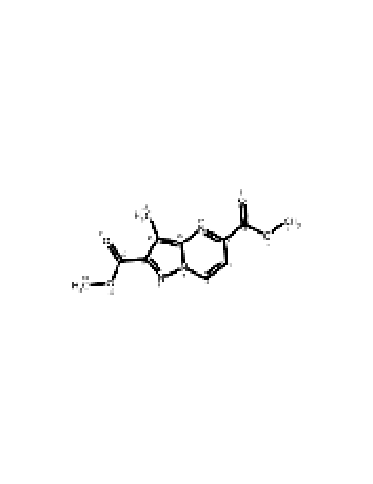 COC(=O)c1ccn2nc(C(=O)OC)c(C)c2n1